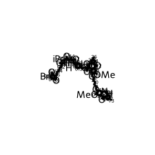 COc1cc2c(cc1OCCCCCOc1cc3c(cc1OC)C(=O)N1C=C(C)CC1[C@@H](O)N3C(=O)OCc1ccc(NC(=O)C(C)NC(=O)C(NC(=O)CCCCCN3C(=O)C=C(Br)C3=O)C(C)C)cc1)N=C[C@H]1CC(C)=CN1C2=O